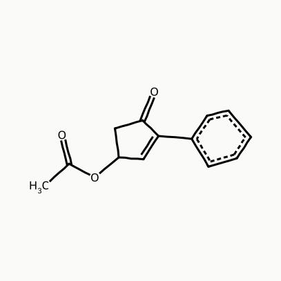 CC(=O)OC1C=C(c2ccccc2)C(=O)C1